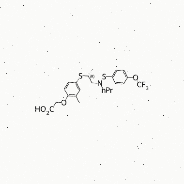 CCCN(C[C@@H](C)Sc1ccc(OCC(=O)O)c(C)c1)Sc1ccc(OC(F)(F)F)cc1